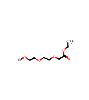 CCOCCOCCOCC(=O)OCC(=O)O